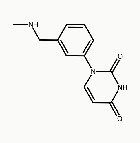 CNCc1cccc(-n2ccc(=O)[nH]c2=O)c1